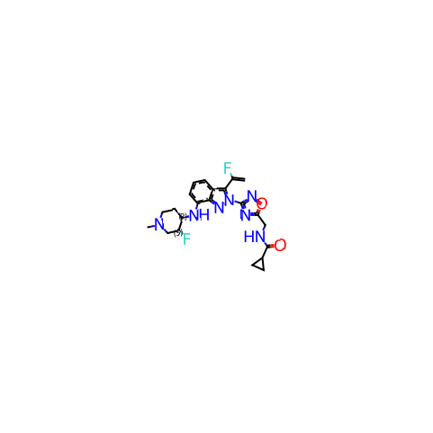 C=C(F)c1c2cccc(N[C@@H]3CCN(C)C[C@@H]3F)c2nn1-c1noc(CNC(=O)C2CC2)n1